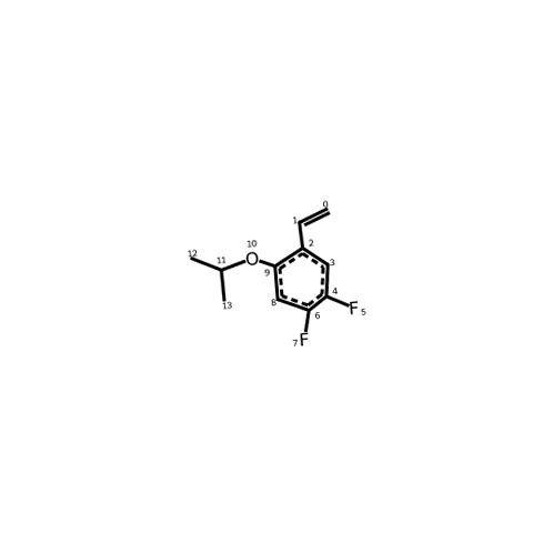 C=Cc1cc(F)c(F)cc1OC(C)C